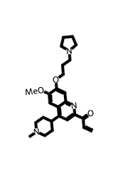 C=CC(=O)c1cc(C2CCN(C)CC2)c2cc(OC)c(OCCCN3CCCC3)cc2n1